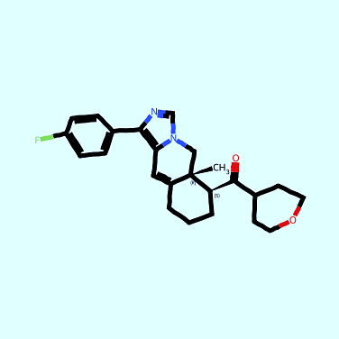 C[C@]12Cn3cnc(-c4ccc(F)cc4)c3C=C1CCC[C@@H]2C(=O)C1CCOCC1